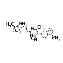 Cc1nc(N2CCC3(CC2)CO[C@@H](C)[C@H]3N)n2ccnc2c1-c1ccc2c(c1)ncn2C